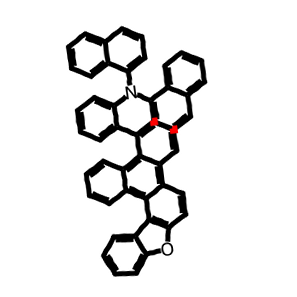 c1ccc(N(c2cccc3ccccc23)c2cccc3ccccc23)c(-c2cccc3c4ccc5oc6ccccc6c5c4c4ccccc4c23)c1